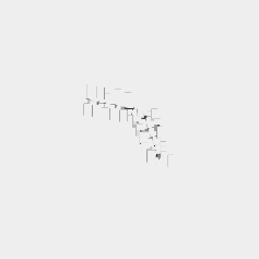 CC(F)(F)C(F)(F)C(F)(F)C(F)(F)C(F)(F)C(F)(F)OC(F)(F)C(F)(F)C(F)(F)C(F)(F)C(F)(F)C(F)(F)F